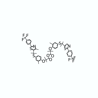 Cc1cc(SC(C)(C)c2cnc(-c3ccc(C(F)(F)F)cc3)s2)ccc1OC(C)(C)C(=O)OC(=O)C(C)(C)Oc1ccc(SC(C)(C)c2sc(-c3ccc(C(F)(F)F)cc3)nc2C)cc1C